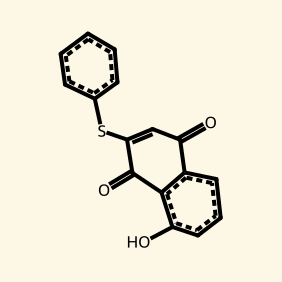 O=C1C=C(Sc2ccccc2)C(=O)c2c(O)cccc21